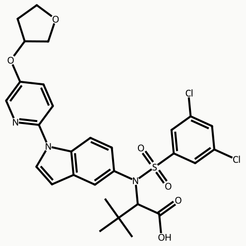 CC(C)(C)C(C(=O)O)N(c1ccc2c(ccn2-c2ccc(OC3CCOC3)cn2)c1)S(=O)(=O)c1cc(Cl)cc(Cl)c1